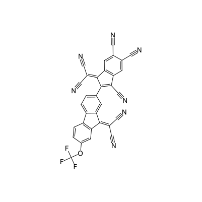 N#CC(C#N)=C1C(c2ccc3c(c2)C(=C(C#N)C#N)c2cc(OC(F)(F)F)ccc2-3)=C(C#N)c2cc(C#N)c(C#N)cc21